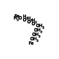 O.O.O.O.O.O.O.O.[Fe].[Fe]